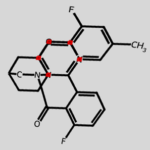 Cc1cnc(OC2CC3CCC2N(C(=O)c2c(F)cccc2-c2ncccn2)C3)c(F)c1